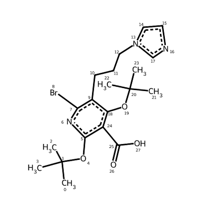 CC(C)(C)Oc1nc(Br)c(CCCn2ccnc2)c(OC(C)(C)C)c1C(=O)O